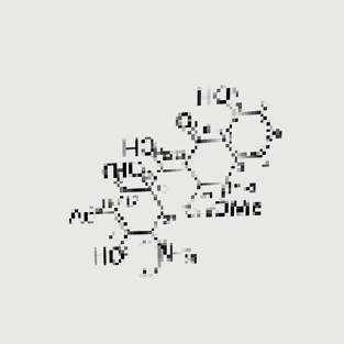 COC1(C)c2cccc(O)c2C(=O)C2=C(O)C3(O)C(=O)C(C(C)=O)=C(O)C(N(C)C)C3CC21